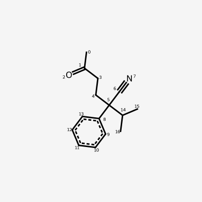 CC(=O)CCC(C#N)(c1ccccc1)C(C)C